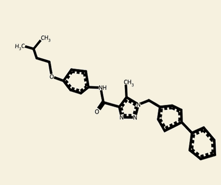 Cc1c(C(=O)Nc2ccc(OCCC(C)C)cc2)nnn1Cc1ccc(-c2ccccc2)cc1